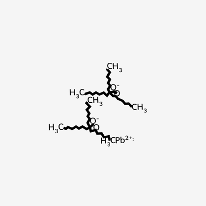 CCCCCCCCC(CCCCCCCC)(CCCCCCCC)C(=O)[O-].CCCCCCCCC(CCCCCCCC)(CCCCCCCC)C(=O)[O-].[Pb+2]